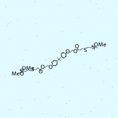 CO[Si](C)(C)CCCSCCC(=O)OCCOc1ccc(C(C)(C)c2ccc(OCCOC(=O)CCSCCC[Si](C)(OC)OC)cc2)cc1